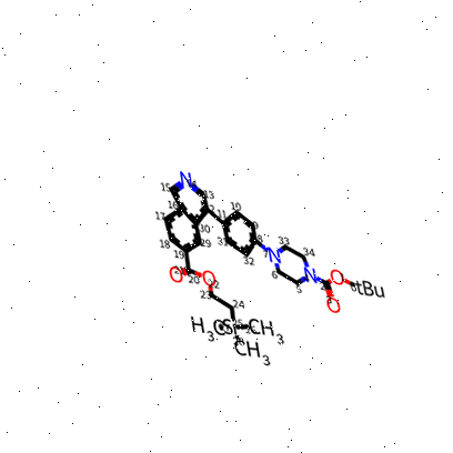 CC(C)(C)OC(=O)N1CCN(c2ccc(-c3cncc4ccc(C(=O)OCC[Si](C)(C)C)cc34)cc2)CC1